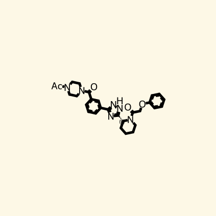 CC(=O)N1CCN(C(=O)c2cccc(-c3n[nH]c([C@H]4CCCCN4C(=O)COc4ccccc4)n3)c2)CC1